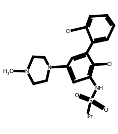 CC(C)S(=O)(=O)Nc1cc(N2CCN(C)CC2)cc(-c2ccccc2Cl)c1Cl